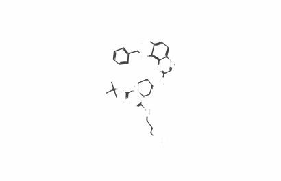 CC(C)(C)OC(=O)N1CC[C@H](Nc2cnc3ccc(Br)c(OCc4ccccc4)c3n2)C[C@H]1C(=O)NCCCO